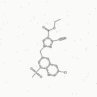 CCOC(=O)c1cn(Cc2cc(S(C)(=O)=O)c3ncc(Cl)cc3c2)nc1C#N